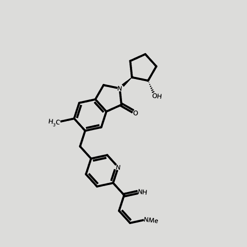 CN/C=C\C(=N)c1ccc(Cc2cc3c(cc2C)CN([C@H]2CCC[C@@H]2O)C3=O)cn1